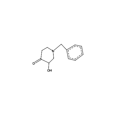 O=C1CCN(Cc2ccccc2)CC1O